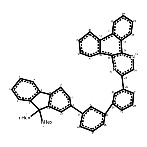 CCCCCCC1(CCCCCC)c2ccccc2-c2ccc(-c3cccc(-c4cccc(-c5cnc6c7ccccc7c7ccccc7c6n5)c4)c3)cc21